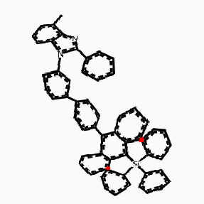 Cc1cccc2c1nc(-c1ccccc1)n2-c1cccc(-c2ccc(-c3c4ccccc4c([Si](c4ccccc4)(c4ccccc4)c4ccccc4)c4ccccc34)cc2)c1